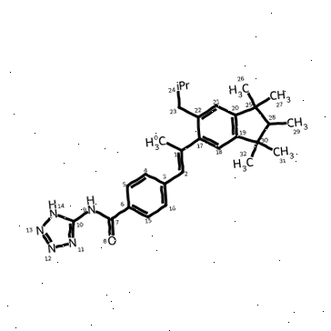 C/C(=C\c1ccc(C(=O)Nc2nnn[nH]2)cc1)c1cc2c(cc1CC(C)C)C(C)(C)C(C)C2(C)C